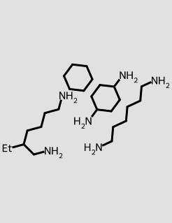 C1CCCCC1.CCC(CN)CCCCN.NC1CCC(N)CC1.NCCCCCCN